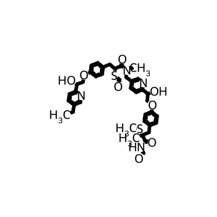 CCc1ccc(C(O)COc2ccc(CC(SC=O)C(=O)N(C)Cc3ccc(C(O)COc4ccc(CC(C)(SC)C(=O)NC=O)cc4)nc3)cc2)nc1